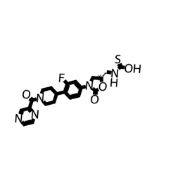 O=C(c1cnccn1)N1CCC(c2ccc(N3C[C@H](CNC(O)=S)OC3=O)cc2F)CC1